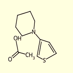 CC(=O)O.c1cc(N2CCCCC2)cs1